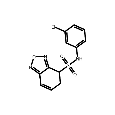 O=S(=O)(Nc1cccc(Cl)c1)C1CC=Cc2nonc21